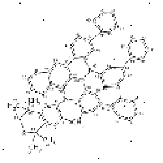 Cc1cc2c(cc1N1c3ccc(-c4ccccc4)cc3B3c4c(cc5ccccc5c41)-c1ccc(-c4ccccc4)cc1N3c1cccc(-c3ccccc3)c1)C(C)(C)CCC2(C)C